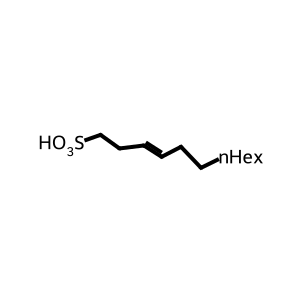 CCCCCCCCC=CCCS(=O)(=O)O